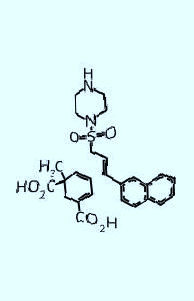 CC1(C(=O)O)C=CC=C(C(=O)O)C1.O=S(=O)(CC=Cc1ccc2ccccc2c1)N1CCNCC1